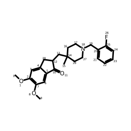 COc1cc2c(cc1OC)C(=O)C(CC1(C)CCN(Cc3ccccc3F)CC1)C2